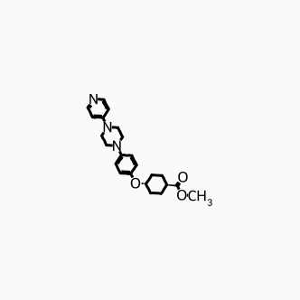 COC(=O)[C@H]1CC[C@H](Oc2ccc(N3CCN(c4ccncc4)CC3)cc2)CC1